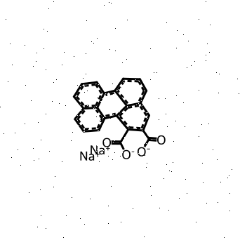 O=C([O-])c1cc2cccc3c4cccc5cccc(c(c1C(=O)[O-])c23)c54.[Na+].[Na+]